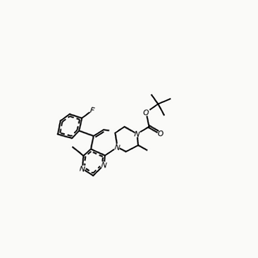 C/C=C(/c1ccccc1F)c1c(C)ncnc1N1CCN(C(=O)OC(C)(C)C)C(C)C1